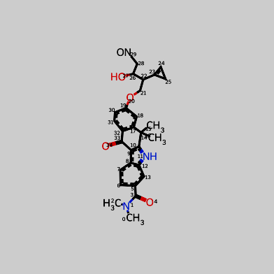 CN(C)C(=O)c1ccc2c3c([nH]c2c1)C(C)(C)c1cc(OCC(C2=CC2)C(O)CN=O)ccc1C3=O